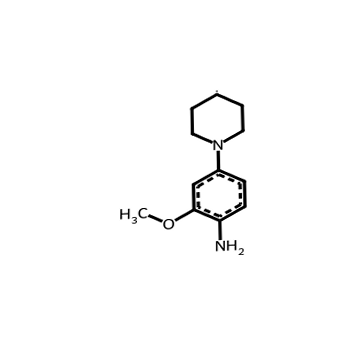 COc1cc(N2CC[CH]CC2)ccc1N